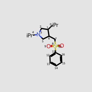 CC(C)C1CN(C(C)C)CC1CS(=O)(=O)c1ccccc1